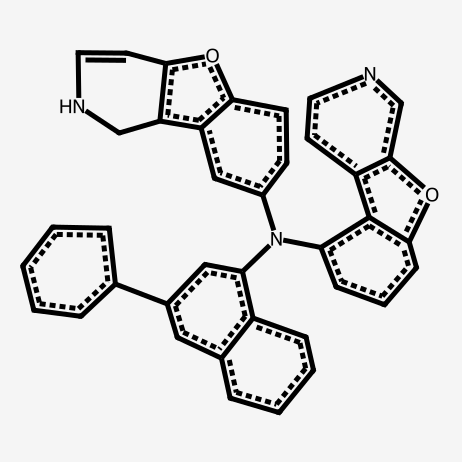 C1=Cc2oc3ccc(N(c4cc(-c5ccccc5)cc5ccccc45)c4cccc5oc6cnccc6c45)cc3c2CN1